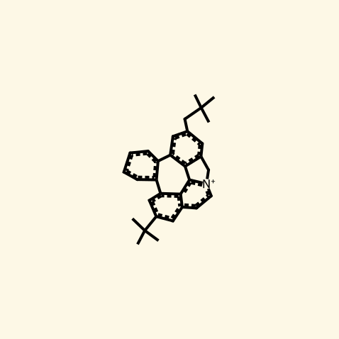 CC(C)(C)Cc1cc2c3c(c1)-c1ccccc1-c1cc(C(C)(C)C)cc4cc[n+](c-3c14)C2